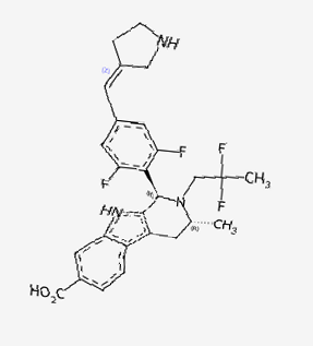 C[C@@H]1Cc2c([nH]c3cc(C(=O)O)ccc23)[C@@H](c2c(F)cc(/C=C3/CCNC3)cc2F)N1CC(C)(F)F